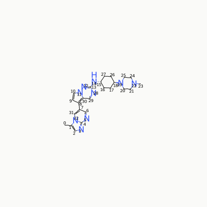 Cc1cnc2ncc(-c3ccn4nc(N[C@H]5CC[C@H](N6CCN(C)CC6)CC5)ncc34)cn12